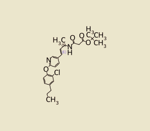 CCCc1ccc(Oc2ccc(/C=C/[C@H](C)NC(=O)CC(=O)OC(C)(C)C)cn2)c(Cl)c1